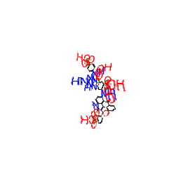 CCNc1nc(Nc2ccc(S(=O)(=O)O)cc2)nc(Nc2cc(Nc3ccc4c5c3C(=O)c3ccccc3-c5c(C(=O)c3cccc(S(=O)(=O)O)c3)c(=O)n4C)c(S(=O)(=O)O)cc2SOOO)n1